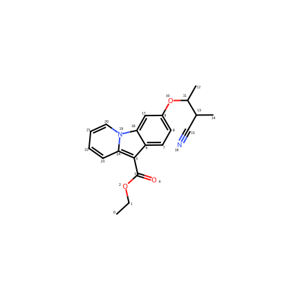 CCOC(=O)c1c2ccc(OC(C)C(C)C#N)cc2n2ccccc12